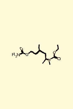 CCOC(=O)N(C)C(C)CC(C)CCOC(N)=O